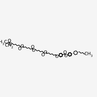 C=C(C)C(=O)OCCCCCC(=O)OCCCCCC(=O)OCCCCCC(=O)OCCCCCCOc1ccc(C(=O)Oc2ccc([C@H]3CC[C@H](CCCCC)CC3)cc2)cc1